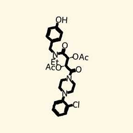 CCN(Cc1ccc(O)cc1)C(=O)[C@H](OC(C)=O)[C@@H](OC(C)=O)C(=O)N1CCN(c2ccccc2Cl)CC1